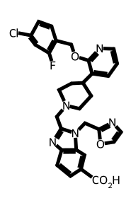 O=C(O)c1ccc2nc(CN3CCC(c4cccnc4OCc4ccc(Cl)cc4F)CC3)n(Cc3ncco3)c2c1